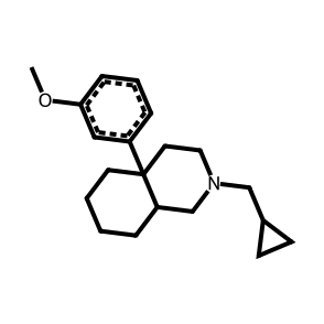 COc1cccc(C23CCCCC2CN(CC2CC2)CC3)c1